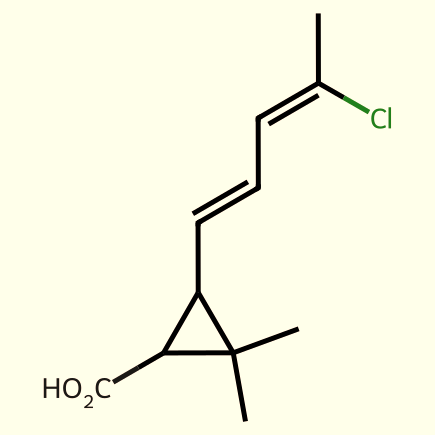 C/C(Cl)=C/C=C/C1C(C(=O)O)C1(C)C